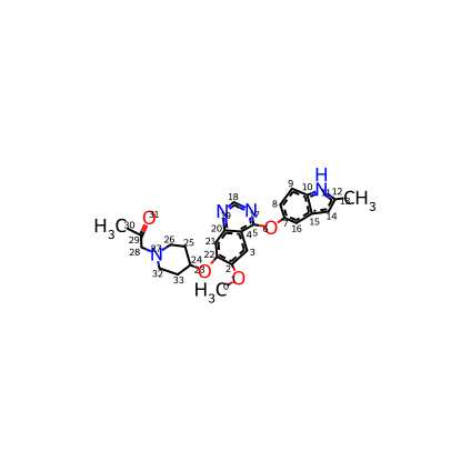 COc1cc2c(Oc3ccc4[nH]c(C)cc4c3)ncnc2cc1OC1CCN(CC(C)=O)CC1